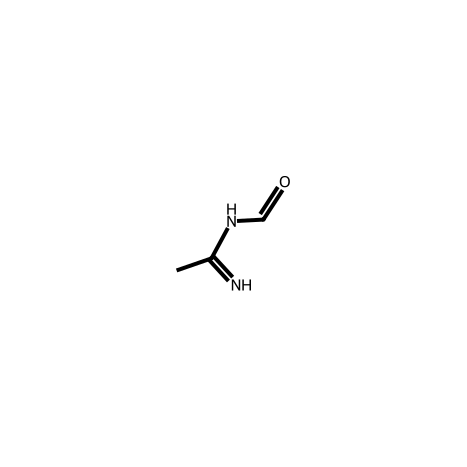 CC(=N)NC=O